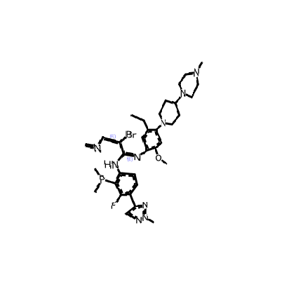 C=N/C=C(Br)\C(=N/c1cc(CC)c(N2CCC(N3CCN(C)CC3)CC2)cc1OC)Nc1ccc(-c2cnn(C)n2)c(F)c1P(C)C